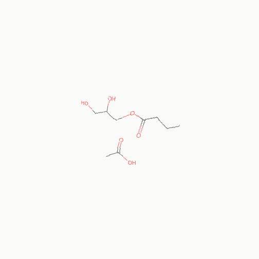 CC(=O)O.CCCC(=O)OCC(O)CO